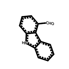 O=Cc1cccc2[nH]c3ccccc3c12